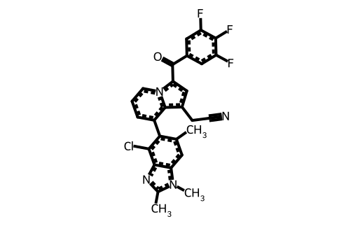 Cc1cc2c(nc(C)n2C)c(Cl)c1-c1cccn2c(C(=O)c3cc(F)c(F)c(F)c3)cc(CC#N)c12